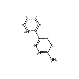 NC1=NN=C(c2ccccn2)CS1